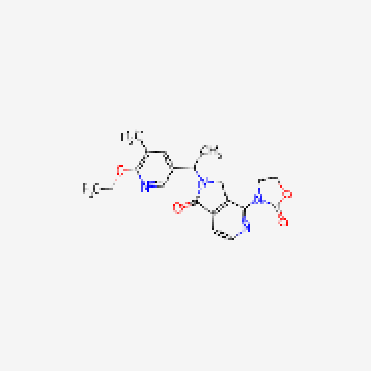 Cc1cc(C(C)N2Cc3c(ccnc3N3CCOC3=O)C2=O)cnc1OCC(F)(F)F